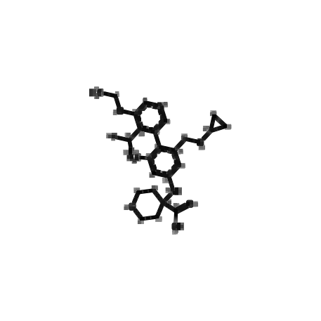 CCOc1cncc(-c2c(C)cc(NC3(C(=O)O)CCOCC3)cc2COC2CC2)c1C(F)F